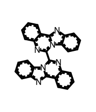 c1ccc2c(c1)nc(-c1nc3ccccc3c3nc4ccccc4n13)n1c3ccccc3nc21